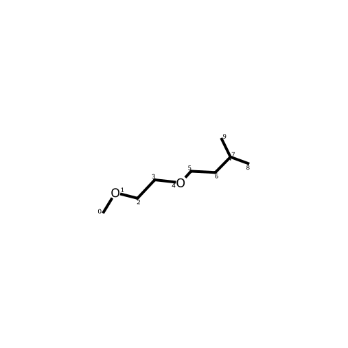 COCCOCC[C](C)C